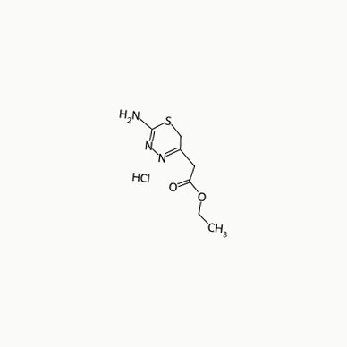 CCOC(=O)CC1=NN=C(N)SC1.Cl